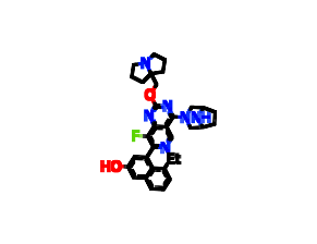 CCc1cccc2cc(O)cc(-c3ncc4c(N5CC6CCC(C5)N6)nc(OCC56CCCN5CCC6)nc4c3F)c12